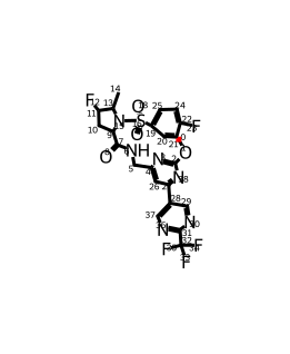 COc1nc(CNC(=O)C2CC(F)C(C)N2S(=O)(=O)c2ccc(F)cc2)cc(-c2cnc(C(F)(F)F)nc2)n1